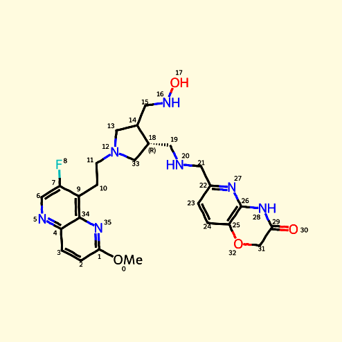 COc1ccc2ncc(F)c(CCN3CC(CNO)[C@H](CNCc4ccc5c(n4)NC(=O)CO5)C3)c2n1